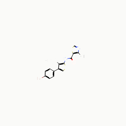 Cc1ncsc1C(=O)Nc1scc(-c2ccc(Br)cc2)c1C(=O)O